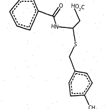 Cc1ccc(CSC(CC(=O)O)NC(=O)c2ccccc2)cc1